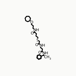 CC(NC(=O)CCNC(=O)CSCCCC(=O)NCCCOC1CCCCCC1)c1ccccc1